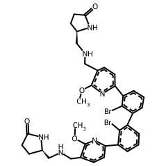 COc1nc(-c2cccc(-c3cccc(-c4ccc(CNC[C@H]5CCC(=O)N5)c(OC)n4)c3Br)c2Br)ccc1CNC[C@H]1CCC(=O)N1